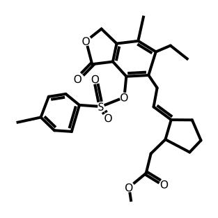 CCc1c(C)c2c(c(OS(=O)(=O)c3ccc(C)cc3)c1C/C=C1\CCCC1CC(=O)OC)C(=O)OC2